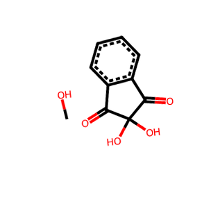 CO.O=C1c2ccccc2C(=O)C1(O)O